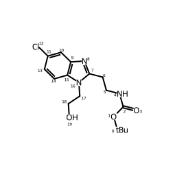 CC(C)(C)OC(=O)NCCc1nc2cc(Cl)ccc2n1CCO